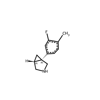 Cc1ccc([C@]23CNC[C@@H]2C3)cc1F